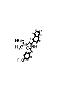 CN(C)CCC(NC(=O)Cc1ccc(C(F)(F)F)cc1)c1ccc2ccccc2c1.Cl